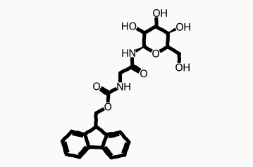 O=C(CNC(=O)OCC1c2ccccc2-c2ccccc21)N[C@@H]1OC(CO)[C@H](O)C(O)C1O